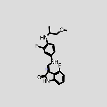 COCC(C)Nc1ccc(N/C=C2/C(=O)Nc3cccc(F)c32)cc1F